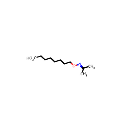 CC(C)=NOCCCCCCCC(=O)O